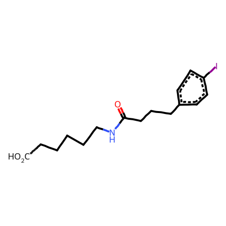 O=C(O)CCCCCNC(=O)CCCc1ccc(I)cc1